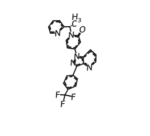 C[C@@H](c1ccccn1)n1ccc(-n2nc(-c3ccc(C(F)(F)F)cc3)c3ncccc32)cc1=O